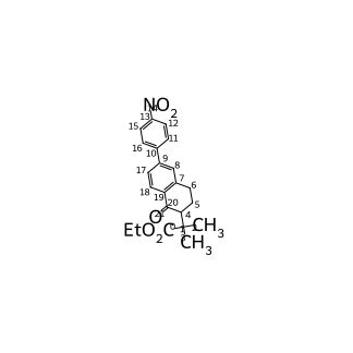 CCOC(=O)C(C)(C)C1CCc2cc(-c3ccc([N+](=O)[O-])cc3)ccc2C1=O